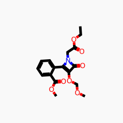 CCOC(=O)CN1C(=O)C(OCOC)=C1c1ccccc1C(=O)OC